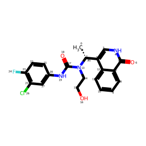 C[C@H](c1c[nH]c(=O)c2ccccc12)N(CCO)C(=O)Nc1ccc(F)c(Cl)c1